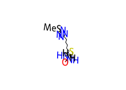 CSc1nnc(CCCCC2SC[C@@H]3NC(=O)N[C@H]23)nn1